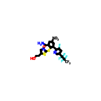 NC(=O)c1cc([N+](=O)[O-])cc(-c2ncc(C(F)(F)C(F)(F)C(F)(F)F)cc2F)c1Sc1ncc(CCO)s1